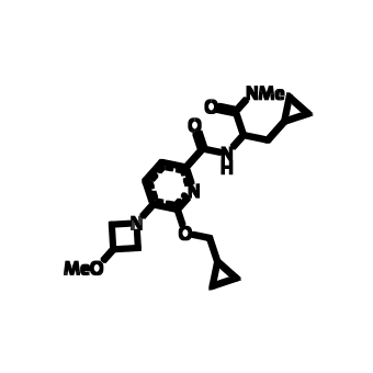 CNC(=O)C(CC1CC1)NC(=O)c1ccc(N2CC(OC)C2)c(OCC2CC2)n1